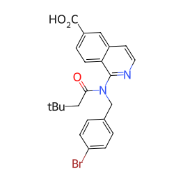 CC(C)(C)CC(=O)N(Cc1ccc(Br)cc1)c1nccc2cc(C(=O)O)ccc12